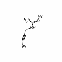 [C-]#[N+]/N=C(\N)NCC#CC(C)C